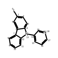 Ic1ccc2c(c1)c1ccccc1n2-c1cccnc1